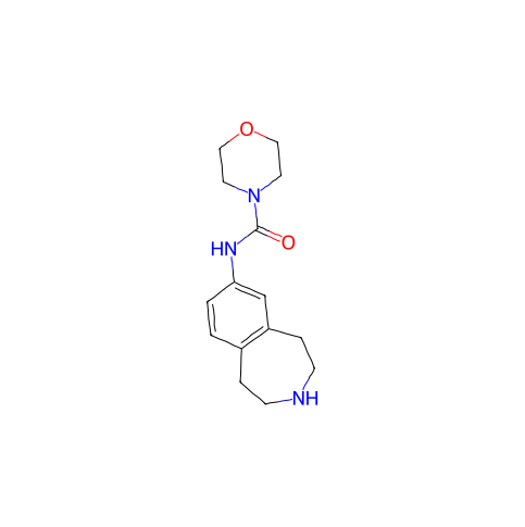 O=C(Nc1ccc2c(c1)CCNCC2)N1CCOCC1